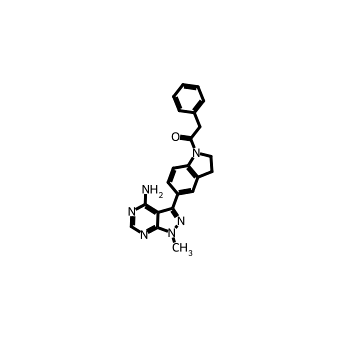 Cn1nc(-c2ccc3c(c2)CCN3C(=O)Cc2ccccc2)c2c(N)ncnc21